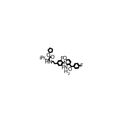 CC(C)C[C@@H](NCCc1cc(F)c(-n2c(N)c(C(=O)c3ccc(F)cc3)ccc2=O)c(F)c1)C(=O)OC1CCCC1